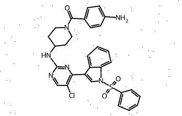 Nc1ccc(C(=O)N2CCC(Nc3ncc(Cl)c(-c4cn(S(=O)(=O)c5ccccc5)c5ccccc45)n3)CC2)cc1